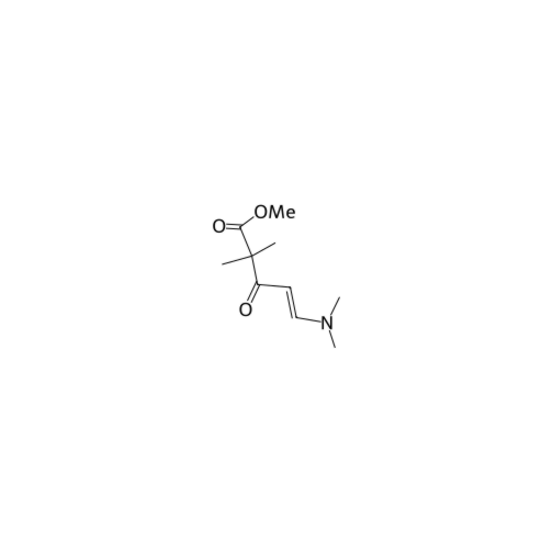 COC(=O)C(C)(C)C(=O)/C=C/N(C)C